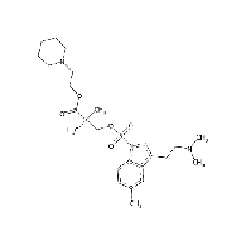 Cc1ccc2c(c1)c(CCN(C)C)cn2S(=O)(=O)OCC(C)(C)C(=O)OCCN1CCCCC1